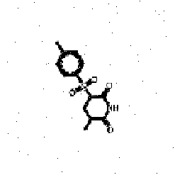 Cc1ccc(S(=O)(=O)C2CC(C)C(=O)NC2=O)cc1